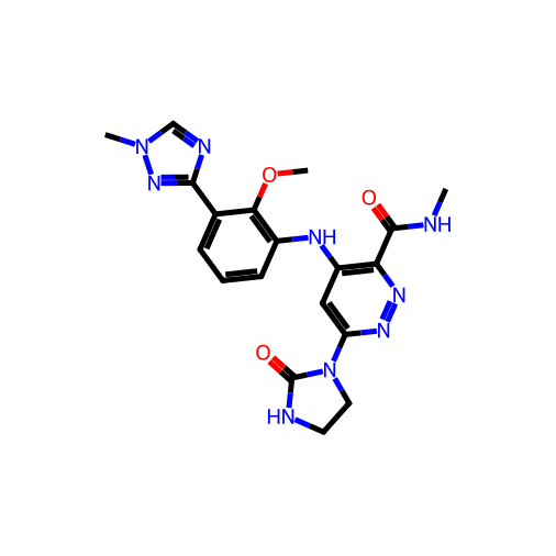 CNC(=O)c1nnc(N2CCNC2=O)cc1Nc1cccc(-c2ncn(C)n2)c1OC